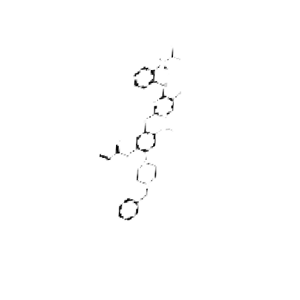 C=CC(=O)Nc1cc(Nc2ncc(Cl)c(Nc3ccccc3S(=O)(=O)C(C)C)n2)c(OC)cc1N1CCN(Cc2ccccc2)CC1